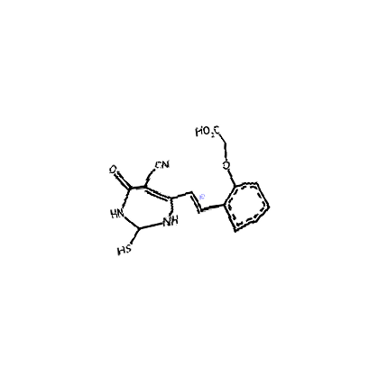 N#CC1=C(/C=C/c2ccccc2OCC(=O)O)NC(S)NC1=O